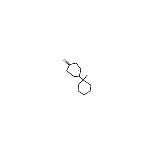 CC1(C2CCC(=O)CC2)CCCCC1